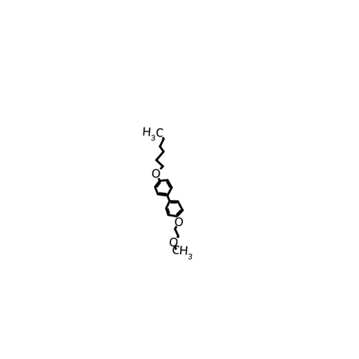 CCCCCCOc1ccc(-c2ccc(OCCOC)cc2)cc1